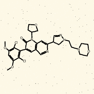 COc1cc(OC)c(Cl)c(-c2cc3cnc(C4C=NN(CCN5CCOCC5)C4)cc3n(C3CCOC3)c2=O)c1Cl